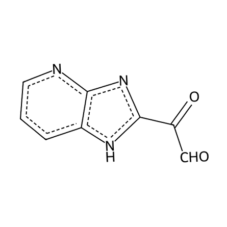 O=CC(=O)c1nc2ncccc2[nH]1